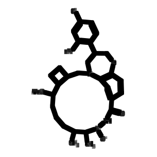 CCCc1cc(Cl)ccc1C1COc2ccc3cc2N(C1)CC1CCC1C(OC)CCCC(C)C(C)[S+]([O-])NC3=O